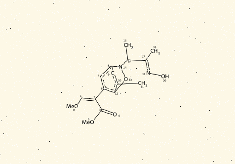 COC=C(C(=O)OC)c1cc2cc(C)c1ON2C(C)C(C)=NO